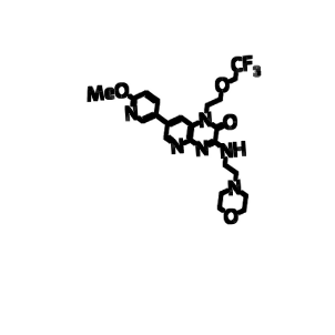 COc1ccc(-c2cnc3nc(NCCN4CCOCC4)c(=O)n(CCOCC(F)(F)F)c3c2)cn1